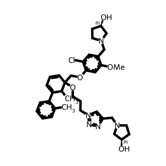 COc1cc(OCC2(OCCCn3cc(CN4CC[C@@H](O)C4)nn3)C=CC=C(c3ccccc3C)C2C)c(Cl)cc1CN1CC[C@@H](O)C1